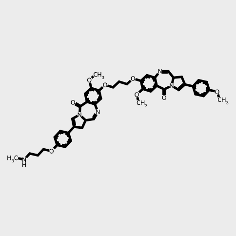 CNCCCOc1ccc(C2=CN3C(=O)c4cc(OC)c(OCCCOc5cc6c(cc5OC)C(=O)N5C=C(c7ccc(OC)cc7)CC5C=N6)cc4N=CC3C2)cc1